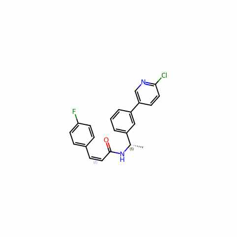 C[C@H](NC(=O)/C=C\c1ccc(F)cc1)c1cccc(-c2ccc(Cl)nc2)c1